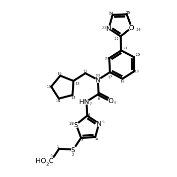 O=C(O)CSc1cnc(NC(=O)N(CC2CCCC2)c2cccc(-c3ncco3)c2)s1